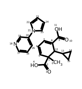 CC1(C(=O)O)C=CC=C(C(=O)O)C1C1CC1.c1cncc(-n2cccc2)c1